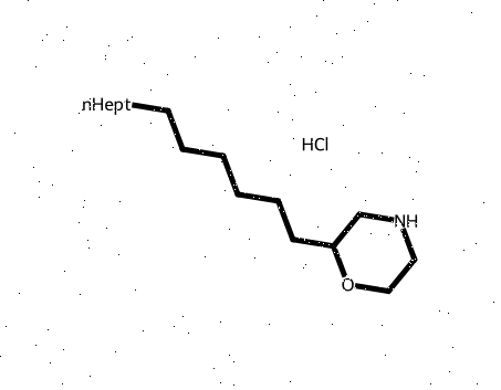 CCCCCCCCCCCCCC1CNCCO1.Cl